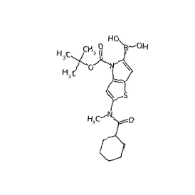 CN(C(=O)C1CCCCC1)c1cc2c(cc(B(O)O)n2C(=O)OC(C)(C)C)s1